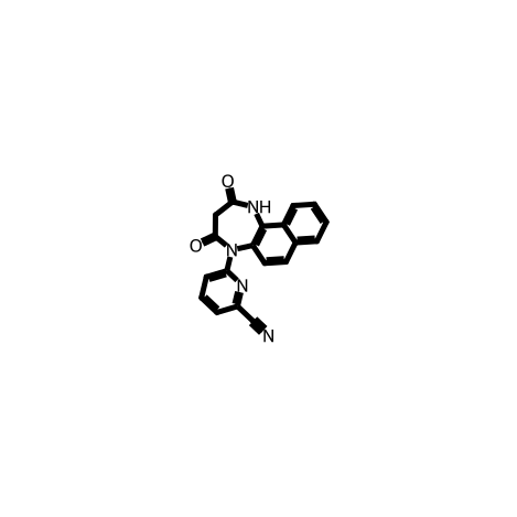 N#Cc1cccc(N2C(=O)CC(=O)Nc3c2ccc2ccccc32)n1